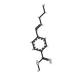 [CH2]CCC=Cc1ccc(C(=O)OC)cc1